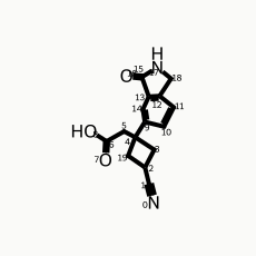 N#CC1CC(CC(=O)O)(c2ccc3c(c2)C(=O)NC3)C1